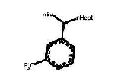 CCCCCCCC(CCCC)c1cccc(C(F)(F)F)c1